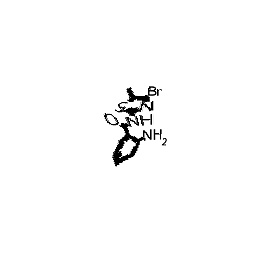 Cc1sc(NC(=O)c2ccccc2N)nc1Br